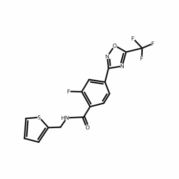 O=C(NCc1cccs1)c1ccc(-c2noc(C(F)(F)F)n2)cc1F